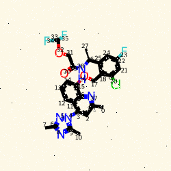 Cc1cc(-n2nc(C)nc2C)c2cccc(OCc3c(Cl)cc(F)cc3[C@H](C)NC(=O)COC(F)F)c2n1